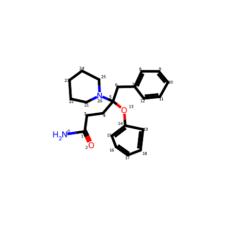 NC(=O)CCC(Cc1ccccc1)(Oc1ccccc1)N1CCCCC1